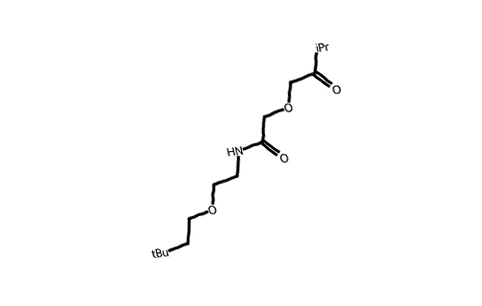 CC(C)C(=O)COCC(=O)NCCOCCC(C)(C)C